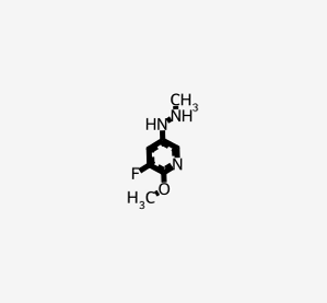 CNNc1cnc(OC)c(F)c1